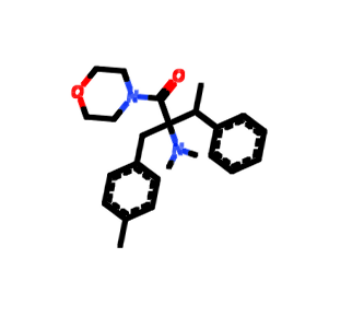 Cc1ccc(CC(C(=O)N2CCOCC2)(C(C)c2ccccc2)N(C)C)cc1